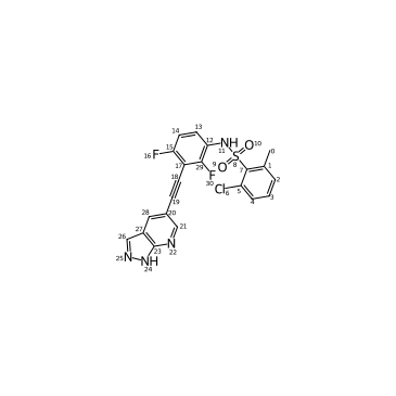 Cc1cccc(Cl)c1S(=O)(=O)Nc1ccc(F)c(C#Cc2cnc3[nH]ncc3c2)c1F